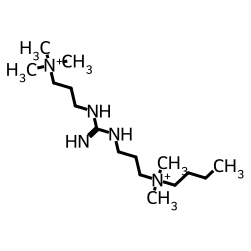 CCCC[N+](C)(C)CCCNC(=N)NCCC[N+](C)(C)C